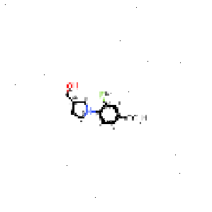 O=C(O)c1ccc(N2CC[C@@H](CO)C2)c(F)c1